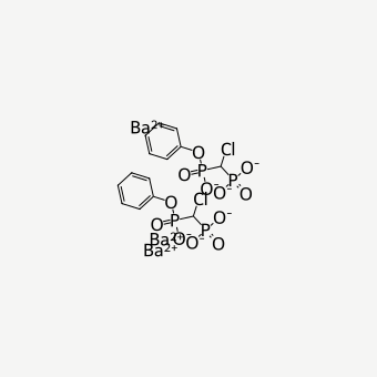 O=P([O-])([O-])C(Cl)P(=O)([O-])Oc1ccccc1.O=P([O-])([O-])C(Cl)P(=O)([O-])Oc1ccccc1.[Ba+2].[Ba+2].[Ba+2]